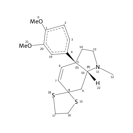 COc1ccc([C@]23C=CC4(C[C@H]2N(C)CC3)SCCS4)cc1OC